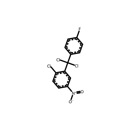 O=[N+]([O-])c1ccc(Cl)c(C(Cl)(Cl)c2ccc(F)cc2)c1